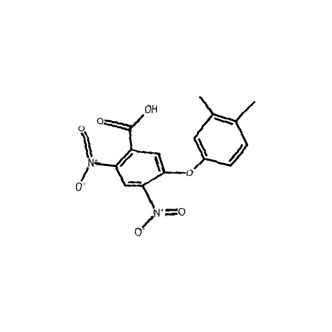 Cc1ccc(Oc2cc(C(=O)O)c([N+](=O)[O-])cc2[N+](=O)[O-])cc1C